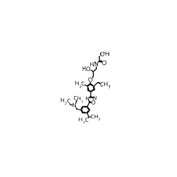 CCc1cc(-c2noc(-c3cc(CN(CC)CC)cc(C(C)C)c3)n2)cc(C)c1OCC(O)CNC(=O)CO